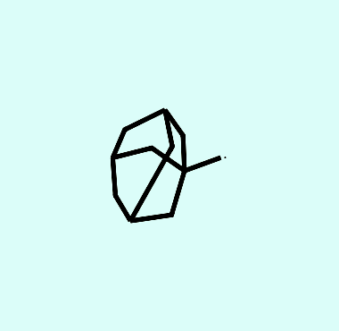 [CH2]C12CC3CC(CC(C3)C1)C2